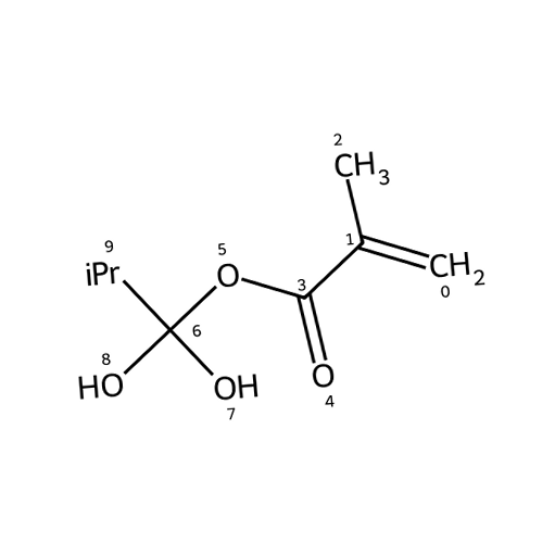 C=C(C)C(=O)OC(O)(O)C(C)C